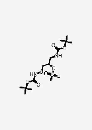 CC(C)(C)OC(=O)NCC(CONC(=O)OC(C)(C)C)OS(C)(=O)=O